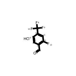 Cl.O=Cc1ccc(C(F)(F)F)cc1F